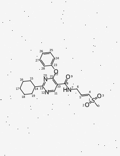 CS(=O)(=O)C=CCNC(=O)c1cnc(C2CCCCC2)nc1Oc1ccccc1